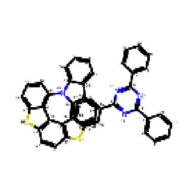 c1ccc(-c2nc(-c3ccccc3)nc(-c3ccc4c(c3)sc3ccc5sc6cccc(-n7c8ccccc8c8ccccc87)c6c5c34)n2)cc1